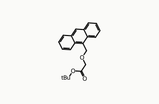 CC(C)(C)OC(=O)COCc1c2ccccc2cc2ccccc12